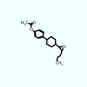 CCCC1OC1C1CCC(c2ccc(OC(C)=O)cc2)CC1